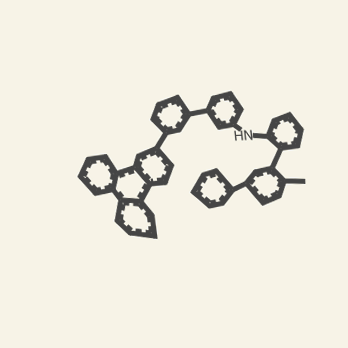 Cc1ccc(-c2ccccc2)cc1-c1ccccc1Nc1cccc(-c2cccc(-c3ccc4c5ccccc5c5ccccc5c4c3)c2)c1